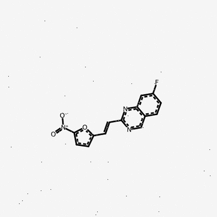 O=[N+]([O-])c1ccc(/C=C/c2n[c]c3ccc(F)cc3n2)o1